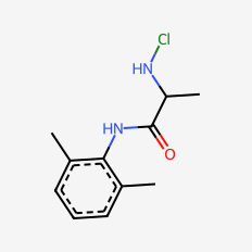 Cc1cccc(C)c1NC(=O)C(C)NCl